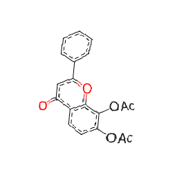 CC(=O)Oc1ccc2c(=O)cc(-c3ccccc3)oc2c1OC(C)=O